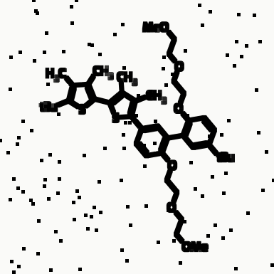 COCCOCCOc1ccc(-c2sc(-c3sc(C(C)(C)C)c(C)c3C)c(C)c2C)cc1-c1cc(C(C)(C)C)ccc1OCCOCCOC